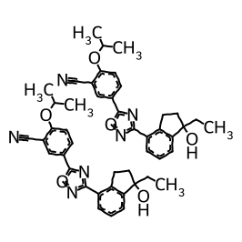 CCC1(O)CCc2c(-c3noc(-c4ccc(OC(C)C)c(C#N)c4)n3)cccc21.CCC1(O)CCc2c(-c3noc(-c4ccc(OC(C)C)c(C#N)c4)n3)cccc21